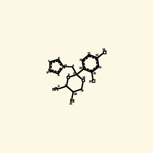 CCCC1OC(Cn2ccnc2)(c2ccc(Cl)cc2Cl)OCC1CC